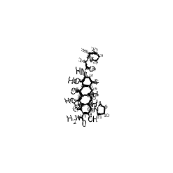 NC(=O)C1=C(O)[C@@H](N2CCCC2)[C@@H]2C[C@@H]3Cc4c(F)cc(NC(=O)CN5CCCC5)c(O)c4C(=O)C3=C(O)[C@@H]2C1=O